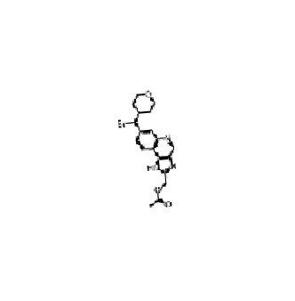 CC(=O)OCc1nc2cnc3cc(C(Br)C4CCOCC4)ccc3c2[nH]1